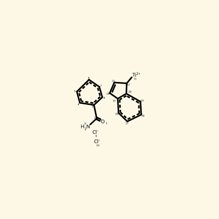 NC(=O)c1ccccc1.[Cl-].[Cl-].[Ti+2][CH]1C=Cc2ccccc21